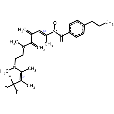 C=C(/C=C(\C)[S+]([O-])Nc1ccc(CCC)cc1)C(=C)N(C)CCN(C)/C(C)=C(/C)C(F)(F)F